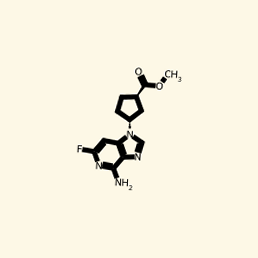 COC(=O)[C@@H]1CC[C@@H](n2cnc3c(N)nc(F)cc32)C1